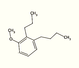 CCCCc1cc[c]c(OC)c1CCC